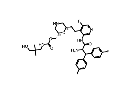 Cc1ccc(C(c2ccc(F)cc2)C(N)C(=O)Nc2cncc(F)c2CC[C@@H]2CNC[C@@H](COC(=O)NCC(C)(C)CO)O2)cc1